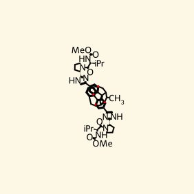 COC(=O)N[C@H](C(=O)N1CCC[C@H]1c1nc(-c2ccc(C3=CC4=CC(C)C3CCc3ccc(c(-c5ccc(-c6c[nH]c([C@@H]7CCCN7C(=O)[C@@H](NC(=O)OC)C(C)C)n6)cc5)c3)CC4)cc2)c[nH]1)C(C)C